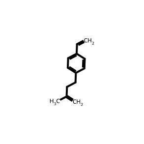 C=Cc1ccc(CCC(=C)C)cc1